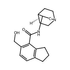 O=C(N[C@@H]1CN2CCC1CC2)c1c(CO)ccc2c1CCC2